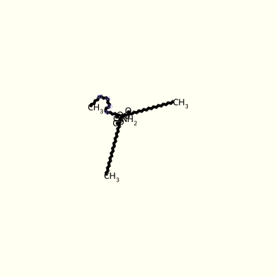 CCCCC/C=C\C/C=C\C/C=C\C/C=C\CCCC(=O)O[C@](N)(COC(=O)CCCCCCCCCCCCCCCCCCC)COC(=O)CCCCCCCCCCCCCCCCCCCCC